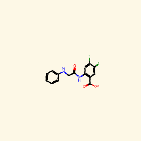 O=C(CNc1ccccc1)Nc1cc(F)c(F)cc1C(=O)O